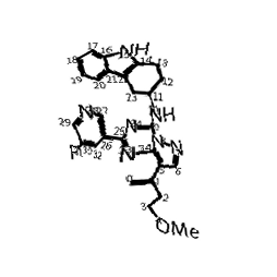 C=C(CCOC)c1cnn2c(N[C@@H]3CCc4[nH]c5ccccc5c4C3)nc(-c3cncc(F)c3)nc12